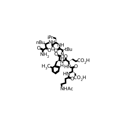 CCCC[C@H](NC(=O)[C@H](CC(C)C)NC(=O)[C@@H](NC(=O)[C@H](Cc1ccccc1C)NC(=O)[C@H](CCC(=O)O)NC(=O)[C@H](CC(=O)O)NC(=O)CCCNC(C)=O)C(C)(C)C)C(=O)C(N)=O